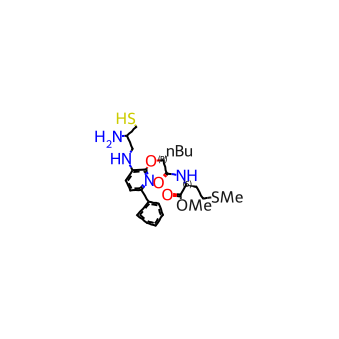 CCCC[C@@H](Oc1nc(-c2ccccc2)ccc1NCC(N)CS)C(=O)N[C@@H](CCSC)C(=O)OC